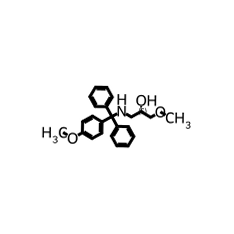 COC[C@@H](O)CNC(c1ccccc1)(c1ccccc1)c1ccc(OC)cc1